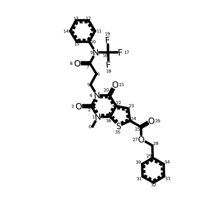 Cn1c(=O)n(CCC(=O)N(c2ccccc2)C(F)(F)F)c(=O)c2cc(C(=O)OCc3ccccc3)sc21